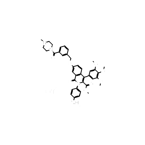 COC(=O)c1c(-c2cc(OC)c(OC)c(OC)c2)c2ccc(OCc3cccc(C(=O)N4CCN(C)CC4)c3)cc2c(=O)n1-c1ccc(N)cc1.Cl.Cl